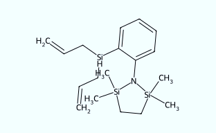 C=CC[SiH](CC=C)c1ccccc1N1[Si](C)(C)CC[Si]1(C)C